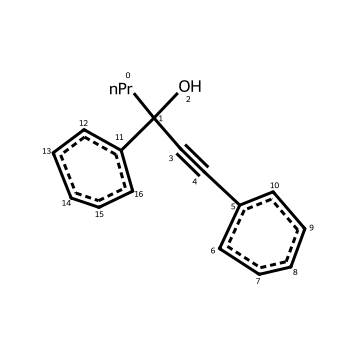 CCCC(O)(C#Cc1ccccc1)c1ccccc1